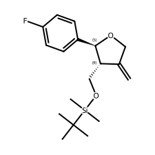 C=C1CO[C@H](c2ccc(F)cc2)[C@H]1CO[Si](C)(C)C(C)(C)C